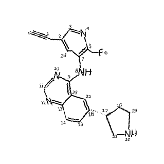 C#Cc1cnc(F)c(Nc2ncnc3ccc([C@@H]4CCNC4)cc23)c1